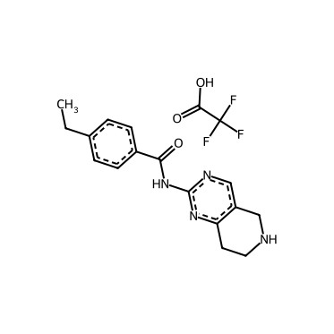 CCc1ccc(C(=O)Nc2ncc3c(n2)CCNC3)cc1.O=C(O)C(F)(F)F